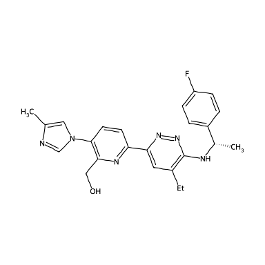 CCc1cc(-c2ccc(-n3cnc(C)c3)c(CO)n2)nnc1N[C@@H](C)c1ccc(F)cc1